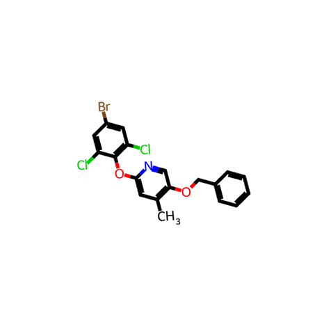 Cc1cc(Oc2c(Cl)cc(Br)cc2Cl)ncc1OCc1ccccc1